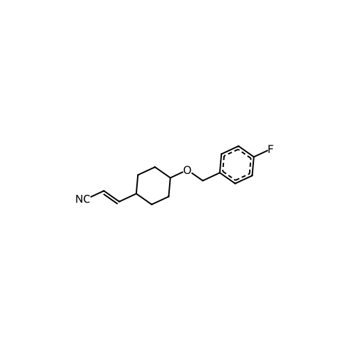 N#CC=CC1CCC(OCc2ccc(F)cc2)CC1